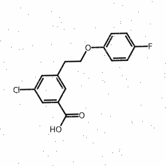 O=C(O)c1cc(Cl)cc(CCOc2ccc(F)cc2)c1